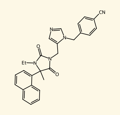 CCN1C(=O)N(Cc2cncn2Cc2ccc(C#N)cc2)C(=O)C1(C)c1cccc2ccccc12